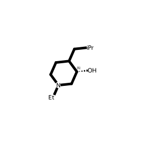 CCN1CCC(CC(C)C)[C@H](O)C1